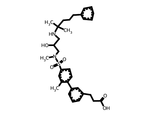 Cc1cc(S(=O)(=O)N(C)CC(O)CNC(C)(C)CCCc2ccccc2)ccc1-c1cccc(CCC(=O)O)c1